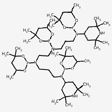 CC1CC(C)(C)OP(N(CCCN(C2CC(C)(C)NC(C)(C)C2)P2OC(C)CC(C)(C)O2)CCN(CCCN(C2CC(C)(C)NC(C)(C)C2)P2OC(C)CC(C)(C)O2)P2OC(C)CC(C)(C)O2)O1